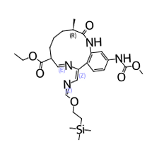 CCOC(=O)C1/C=N/C(=C\N=C/OCC[Si](C)(C)C)c2ccc(NC(=O)OC)cc2NC(=O)[C@H](C)CCC1